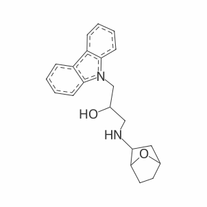 OC(CNC1CC2CCC1O2)Cn1c2ccccc2c2ccccc21